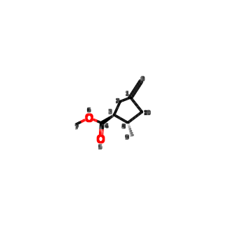 C=C1C[C@H](C(=O)OC)[C@@H](C)C1